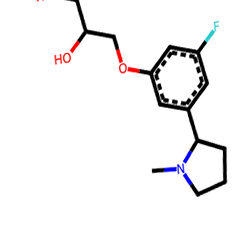 CN1CCCC1c1cc(F)cc(OCC(O)CO)c1